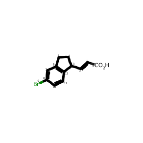 O=C(O)C=CC1CCc2cc(Br)ccc21